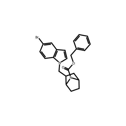 O=C(OCc1ccccc1)N1C2CCC1C(Cn1ccc3cc(Br)ccc31)C2